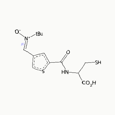 CC(C)(C)/[N+]([O-])=C\c1csc(C(=O)NC(CS)C(=O)O)c1